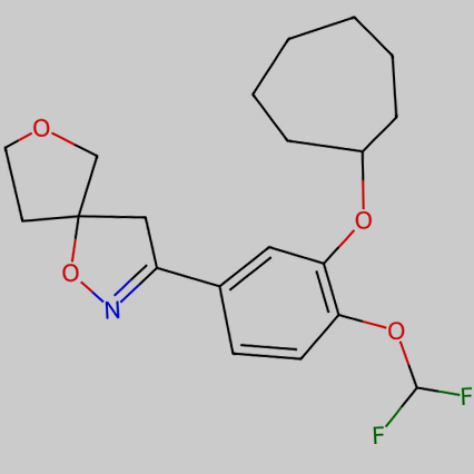 FC(F)Oc1ccc(C2=NOC3(CCOC3)C2)cc1OC1CCCCCC1